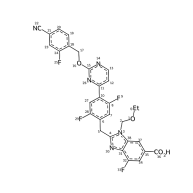 CCOCn1c(Cc2cc(F)c(-c3ccnc(OCc4ccc(C#N)cc4F)n3)cc2F)nc2c(F)cc(C(=O)O)cc21